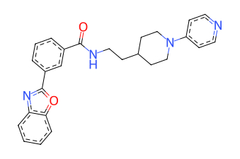 O=C(NCCC1CCN(c2ccncc2)CC1)c1cccc(-c2nc3ccccc3o2)c1